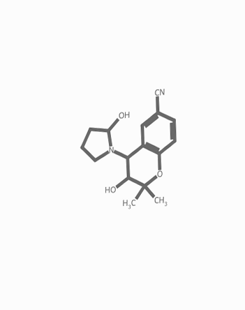 CC1(C)Oc2ccc(C#N)cc2C(N2CCCC2O)C1O